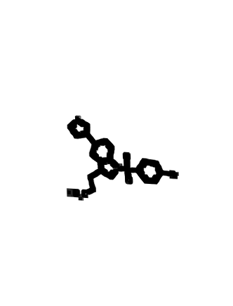 O=C(O)CCc1cn(S(=O)(=O)c2ccc(Br)cc2)c2ccc(-c3ccsc3)cc12